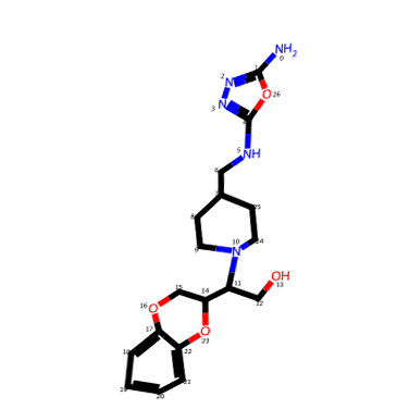 Nc1nnc(NCC2CCN(C(CO)C3COc4ccccc4O3)CC2)o1